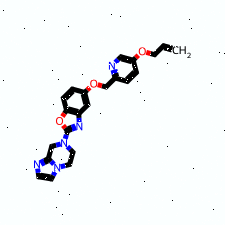 C=CCOc1ccc(COc2ccc3oc(N4CCn5ccnc5C4)nc3c2)nc1